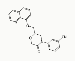 N#Cc1cccc(N2CC(COc3cccc4cccnc34)OCC2=O)c1